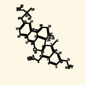 Cc1c2c(c(CC(C)(C)C)c3ccc(CC(C)C)cc13)Oc1cc3ccc(CC(C)(C)C#N)cc3c3cc[n+](C)c-2c13